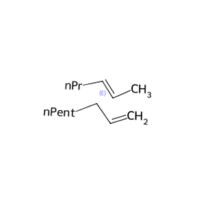 C/C=C/CCC.C=CCCCCCC